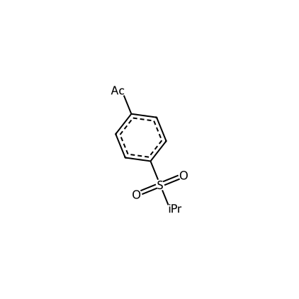 CC(=O)c1ccc(S(=O)(=O)C(C)C)cc1